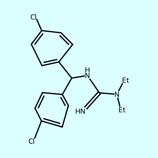 CCN(CC)C(=N)NC(c1ccc(Cl)cc1)c1ccc(Cl)cc1